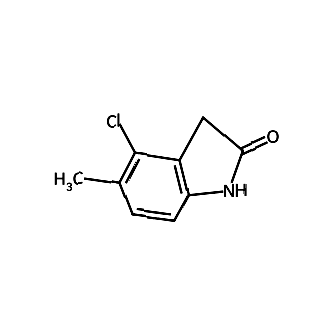 Cc1ccc2c(c1Cl)CC(=O)N2